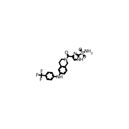 NS(=O)(=O)c1nc(C(=O)N2CCc3cc(Nc4ccc(C(F)(F)F)cc4)ccc3C2)c[nH]1